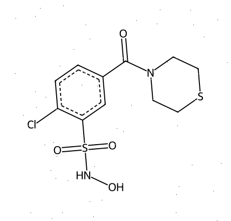 O=C(c1ccc(Cl)c(S(=O)(=O)NO)c1)N1CCSCC1